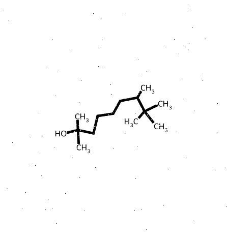 CC(CCCCC(C)(C)O)C(C)(C)C